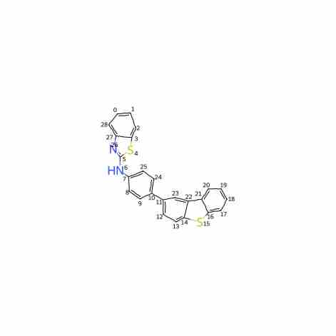 c1ccc2sc(Nc3ccc(-c4ccc5sc6ccccc6c5c4)cc3)nc2c1